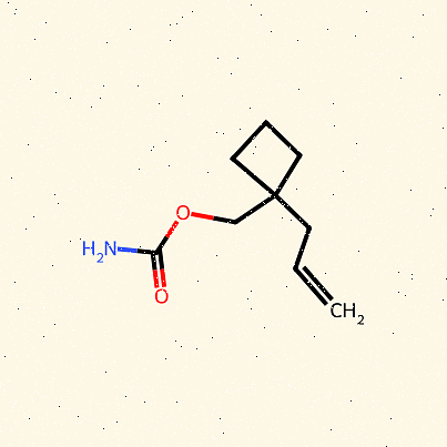 C=CCC1(COC(N)=O)CCC1